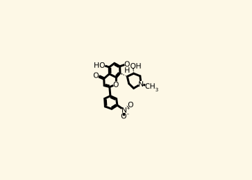 CN1CC[C@H](c2c(O)cc(O)c3c(=O)cc(-c4cccc([N+](=O)[O-])c4)oc23)[C@H](O)C1